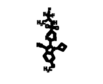 COc1ccc2c(C#N)c(-c3ncc(S(=O)(=O)N[C@@H](C)C(F)(F)F)cn3)n(C3CCC3)c2c1